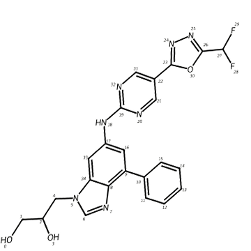 OCC(O)Cn1cnc2c(-c3ccccc3)cc(Nc3ncc(-c4nnc(C(F)F)o4)cn3)cc21